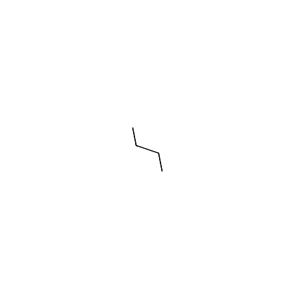 OCCO.[Re]